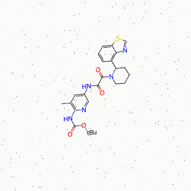 Cc1cc(NC(=O)C(=O)N2CCCCC2c2cccc3scnc23)cnc1NC(=O)OC(C)(C)C